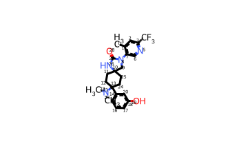 Cc1cc(C(F)(F)F)ncc1N1CC2(CCC(c3cccc(O)c3)(N(C)C)CC2)NC1=O